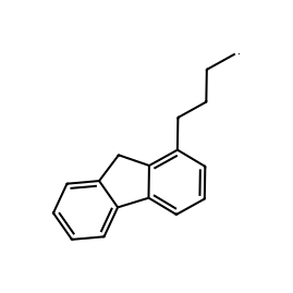 [CH2]CCCc1cccc2c1Cc1ccccc1-2